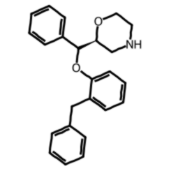 c1ccc(Cc2ccccc2OC(c2ccccc2)[C@@H]2CNCCO2)cc1